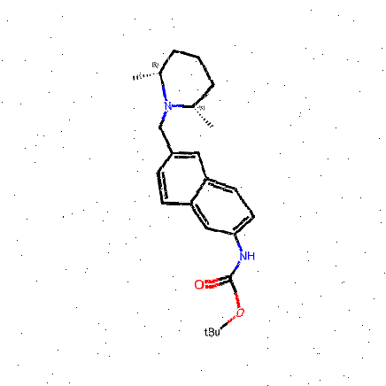 C[C@@H]1CCC[C@H](C)N1Cc1ccc2cc(NC(=O)OC(C)(C)C)ccc2c1